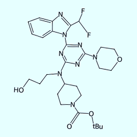 CC(C)(C)OC(=O)N1CCC(N(CCCO)c2nc(N3CCOCC3)nc(-n3c(C(F)F)nc4ccccc43)n2)CC1